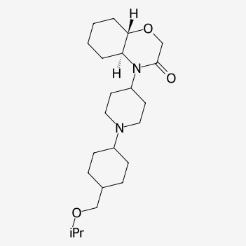 CC(C)OCC1CCC(N2CCC(N3C(=O)CO[C@H]4CCCC[C@@H]43)CC2)CC1